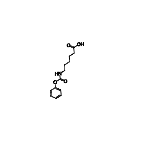 O=C(O)CCCCCNC(=O)Oc1ccccc1